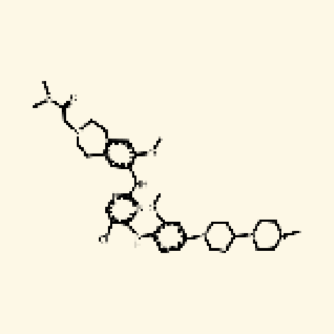 COc1cc2c(cc1Nc1ncc(Cl)c(Nc3ccc(N4CCC(N5CCN(C)CC5)CC4)cc3OC)n1)CCN(CC(=O)N(C)C)CC2